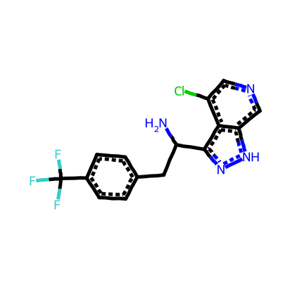 NC(Cc1ccc(C(F)(F)F)cc1)c1n[nH]c2cncc(Cl)c12